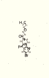 CCCOCCC(=O)N1CCn2c(c(F)c3cc(Br)cnc32)C1